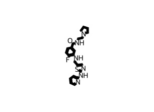 O=C(NCCN1CCCC1)c1ccc(F)c(NCc2cnc(Nc3ccccn3)s2)c1